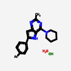 CC(=O)c1ccc(-c2cc3nc(C)nc(N4CCCCC4)c3[nH]2)cc1.Cl.O